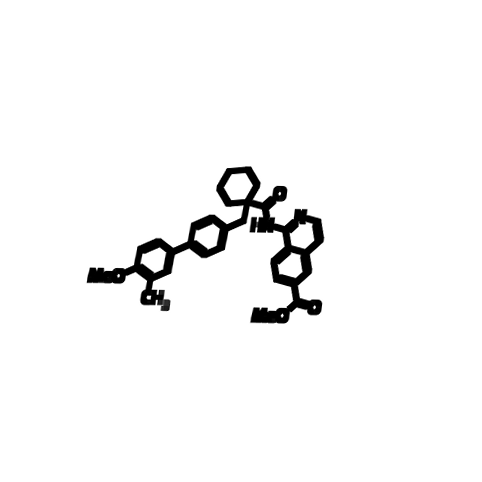 COC(=O)c1ccc2c(NC(=O)C3(Cc4ccc(-c5ccc(OC)c(C)c5)cc4)CCCCC3)nccc2c1